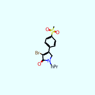 CCCN1CC(c2ccc(S(C)(=O)=O)cc2)=C(Br)C1=O